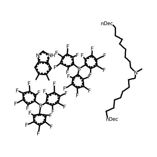 CCCCCCCCCCCCCCCCCCN(C)CCCCCCCCCCCCCCCCCC.Cc1cc2nc[nH]c2cc1C.Fc1c(F)c(F)c(B(c2c(F)c(F)c(F)c(F)c2F)c2c(F)c(F)c(F)c(F)c2F)c(F)c1F.Fc1c(F)c(F)c(B(c2c(F)c(F)c(F)c(F)c2F)c2c(F)c(F)c(F)c(F)c2F)c(F)c1F